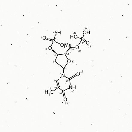 COP(=O)(S)O[C@@H]1C[C@H](n2cc(C)c(=O)[nH]c2=O)O[C@@H]1COP(=O)(O)O